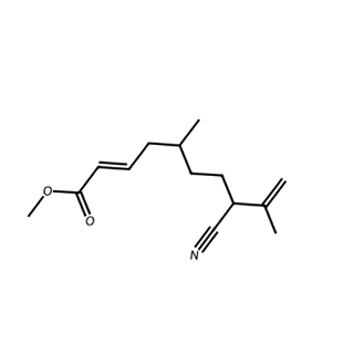 C=C(C)C(C#N)CCC(C)C/C=C/C(=O)OC